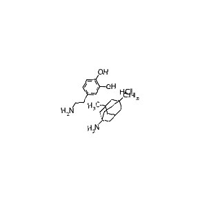 CC12CC3CC(C)(C1)CC(N)(C3)C2.Cl.NCCc1ccc(O)c(O)c1